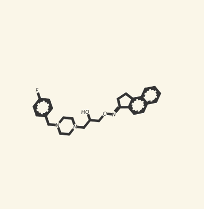 OC(CON=C1CCc2c1ccc1ccccc21)CN1CCN(Cc2ccc(F)cc2)CC1